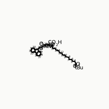 CC(C)(C)OC(=O)CCCCCCCCCCCCCCC(=O)NC(CNC(=O)OCC1c2ccccc2-c2ccccc21)C(=O)O